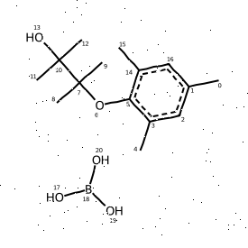 Cc1cc(C)c(OC(C)(C)C(C)(C)O)c(C)c1.OB(O)O